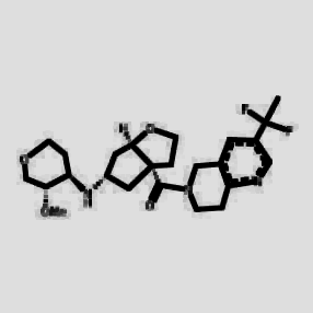 CO[C@@H]1COCC[C@H]1N[C@@H]1C[C@H]2OCC[C@@]2(C(=O)N2CCc3ncc(C(C)(F)F)cc3C2)C1